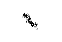 Cc1cc(CNC(=O)c2ccnc(NC(=O)C3CC3)n2)ccc1OC(F)(I)I